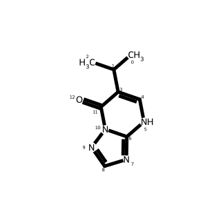 CC(C)c1c[nH]c2ncnn2c1=O